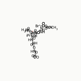 CC(C)[C@H](NCC(=O)NCCNC(=O)CCOCCNC(=O)CCN1C(=O)C=CC1=O)C(=O)N[C@@H](CCCNC(N)=O)C(=O)Nc1ccc2[nH]c(C(=O)N3C[C@@H](CBr)c4c3cc(OC(=O)N3CCN(C)CC3)c3ccccc43)cc2c1